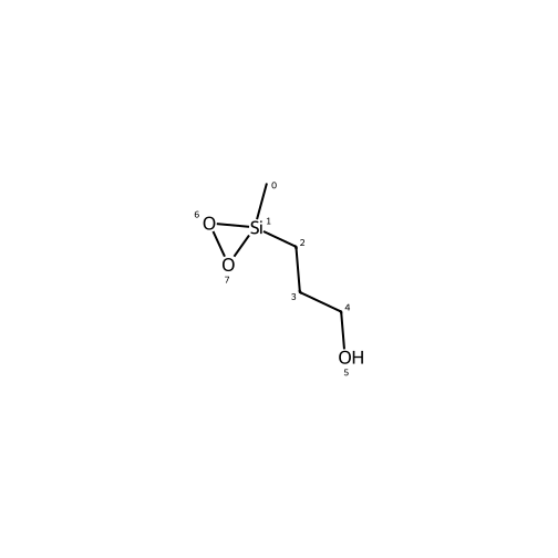 C[Si]1(CCCO)OO1